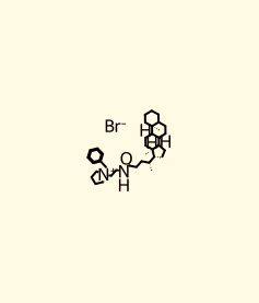 C[C@H](CCC(=O)NCC[N+]1(Cc2ccccc2)CCCC1)[C@H]1CC[C@H]2[C@@H]3CCC4CCCC[C@]4(C)[C@H]3CC[C@]12C.[Br-]